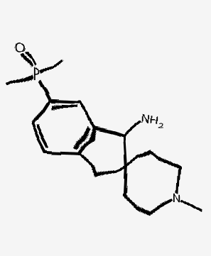 CN1CCC2(CC1)Cc1ccc(P(C)(C)=O)cc1C2N